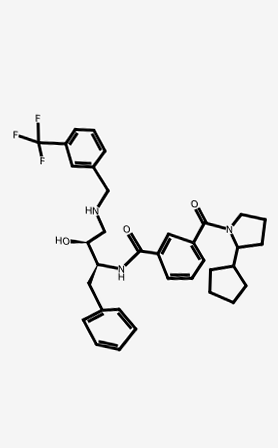 O=C(N[C@@H](Cc1ccccc1)[C@@H](O)CNCc1cccc(C(F)(F)F)c1)c1cccc(C(=O)N2CCCC2C2CCCC2)c1